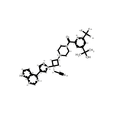 CC(C)(O)c1cc(C(=O)N2CCN([C@H]3C[C@@](CC#N)(n4cc(-c5ncnc6[nH]ccc56)cn4)C3)CC2)nc(C(F)(F)F)c1